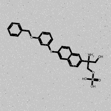 NC(CO)(COP(=O)(O)O)c1ccc2cc(Sc3cccc(OCc4ccccc4)c3)ccc2c1